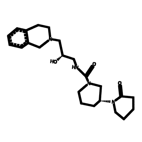 O=C(NC[C@H](O)CN1CCc2ccccc2C1)N1CCC[C@@H](N2CCCCC2=O)C1